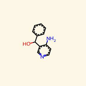 Nc1ccncc1C(O)c1ccccc1